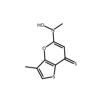 Cc1csc2c(=S)cc(N(C)O)oc12